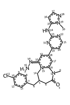 CN1C(=O)CC(Cc2ccc(Cl)cc2)Cn2c1cc(-c1ccnc(Nc3ccnn3C)n1)c/c2=N/N